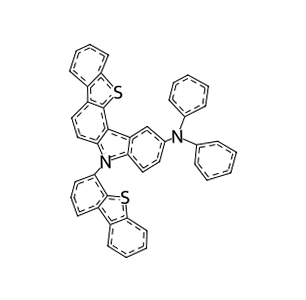 c1ccc(N(c2ccccc2)c2ccc3c(c2)c2c4sc5ccccc5c4ccc2n3-c2cccc3c2sc2ccccc23)cc1